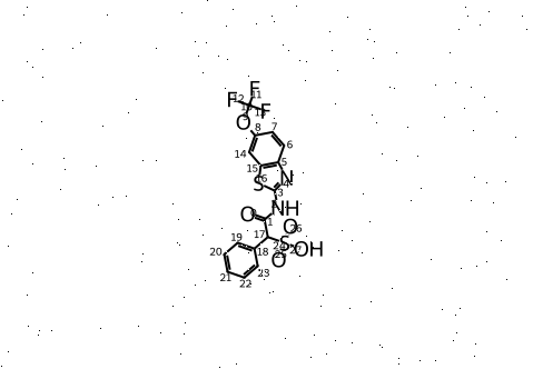 O=C(Nc1nc2ccc(OC(F)(F)F)cc2s1)C(c1ccccc1)S(=O)(=O)O